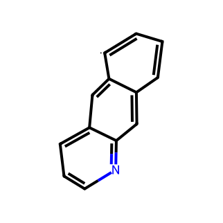 [c]1cccc2cc3ncccc3cc12